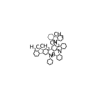 CC1(C)c2ccccc2-c2cc3c(cc21)-c1cc(N2c4ccccc4C4(C)CCCCC24C)c2c4ccccc4n4c2c1B(c1ccccc1-4)N3c1ccccc1